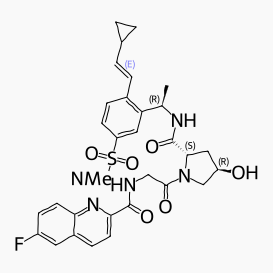 CNS(=O)(=O)c1ccc(/C=C/C2CC2)c([C@@H](C)NC(=O)[C@@H]2C[C@@H](O)CN2C(=O)CNC(=O)c2ccc3cc(F)ccc3n2)c1